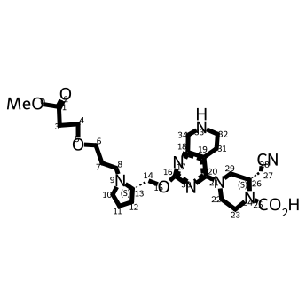 COC(=O)CCOCCCN1CCC[C@H]1COc1nc2c(c(N3CCN(C(=O)O)[C@@H](CC#N)C3)n1)CCNC2